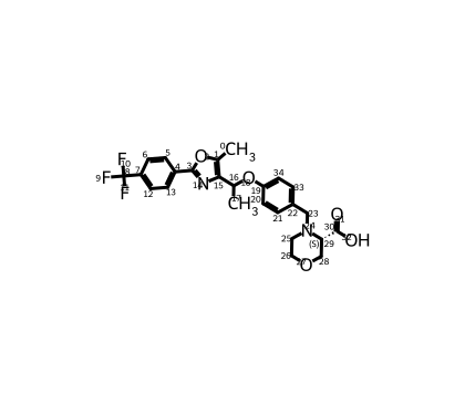 Cc1oc(-c2ccc(C(F)(F)F)cc2)nc1C(C)Oc1ccc(CN2CCOC[C@H]2C(=O)O)cc1